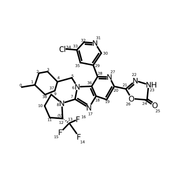 CC1CCC(Cn2c(N3CCC[C@H]3C(F)(F)F)nc3cc(-c4n[nH]c(=O)o4)nc(-c4cncc(Cl)c4)c32)CC1